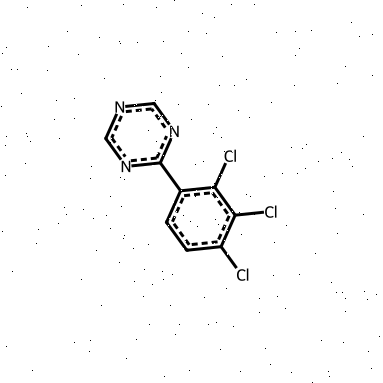 Clc1ccc(-c2ncncn2)c(Cl)c1Cl